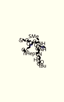 C/C=C(\NC(=O)c1csc(CNC(=O)OC(C)(C)C)n1)C(=O)N[C@@H](CCSC)C(=O)O[C@H](/C=C/CCSC(=O)CCCCCCC)CC(=O)OCC[Si](C)(C)C